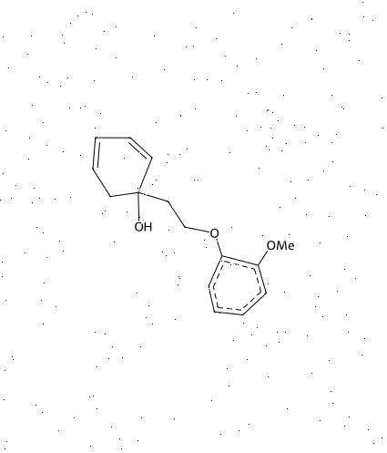 COc1ccccc1OCCC1(O)C=CC=CC1